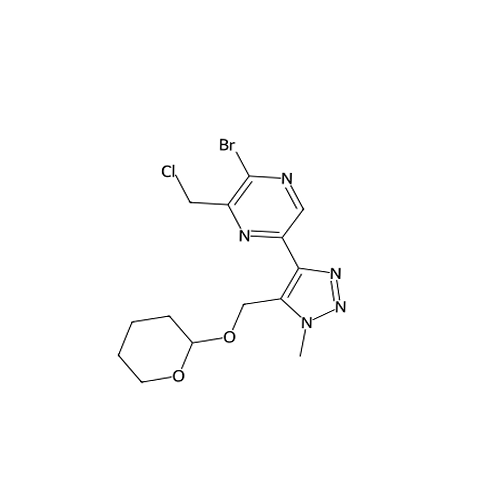 Cn1nnc(-c2cnc(Br)c(CCl)n2)c1COC1CCCCO1